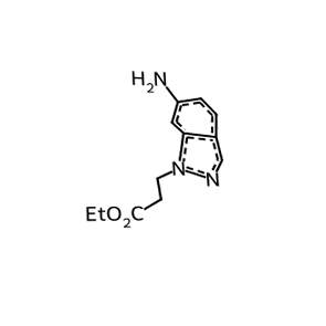 CCOC(=O)CCn1ncc2ccc(N)cc21